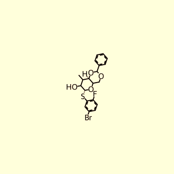 CC1C(O)[C@@H](Sc2cc(Br)ccc2F)OC2COC(c3ccccc3)O[C@@H]21